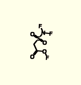 O=C(CS(=O)(=O)N(F)F)OF